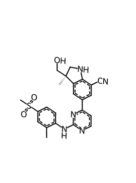 Cc1cc(S(C)(=O)=O)ccc1Nc1nccc(-c2cc(C#N)c3c(c2)[C@@](C)(CO)CN3)n1